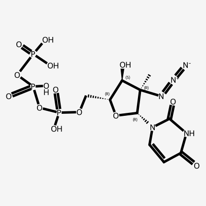 C[C@@]1(N=[N+]=[N-])[C@H](O)[C@@H](COP(=O)(O)OP(=O)(O)OP(=O)(O)O)O[C@H]1n1ccc(=O)[nH]c1=O